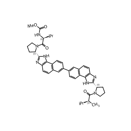 COC(=O)N[C@H](C(=O)N1CCC[C@H]1c1nc2ccc3cc(-c4ccc5c(ccc6nc([C@@H]7CCCN7C(=O)[C@@H](C)C(C)C)[nH]c65)c4)ccc3c2[nH]1)C(C)C